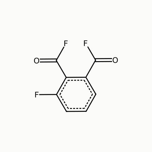 O=C(F)c1cccc(F)c1C(=O)F